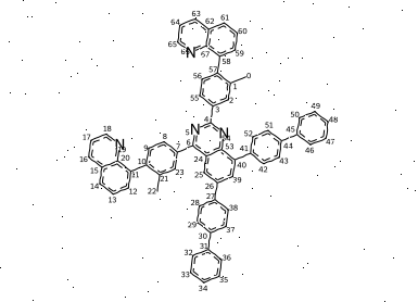 Cc1cc(-c2nc(-c3ccc(-c4cccc5cccnc45)c(C)c3)c3cc(-c4ccc(-c5ccccc5)cc4)cc(-c4ccc(-c5ccccc5)cc4)c3n2)ccc1-c1cccc2cccnc12